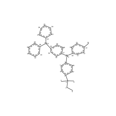 CCC(C)(C)c1ccc(N(c2ccc(C)cc2)c2ccc(N(c3ccccc3)c3ccccc3)cc2)cc1